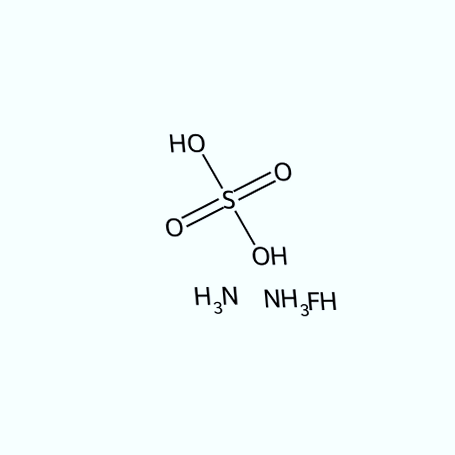 F.N.N.O=S(=O)(O)O